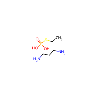 CCSP(=O)(O)O.NCCCN